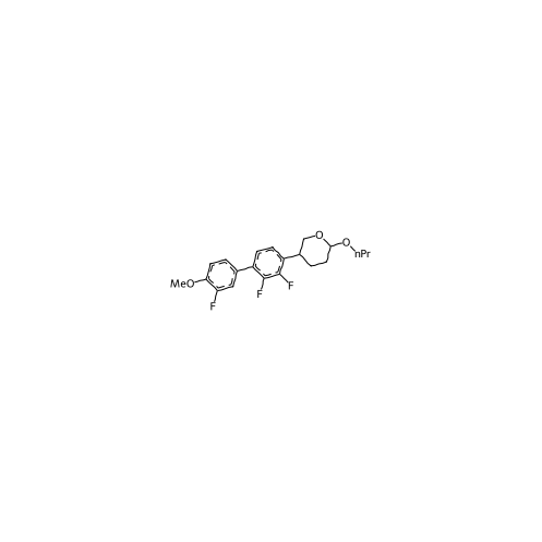 CCCOC1CCC(c2ccc(-c3ccc(OC)c(F)c3)c(F)c2F)CO1